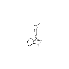 C=C(C)COCCN1C2CCCCC2C(C)CC1(C)C